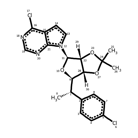 C[C@@H](c1ccc(Cl)cc1)[C@H]1O[C@@H](n2ccc3c(Cl)ncnc32)[C@@H]2OC(C)(C)O[C@@H]21